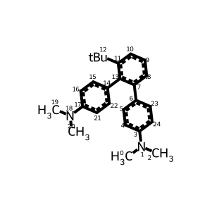 CN(C)c1ccc(-c2[c]ccc(C(C)(C)C)c2-c2ccc(N(C)C)cc2)cc1